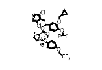 O=C(O[C@@H](Cc1c(Cl)cncc1Cl)c1ccc(OC(F)F)c(OCC2CC2)c1)[C@@H]1SCCN1S(=O)(=O)c1ccc(OCC(F)(F)F)cc1